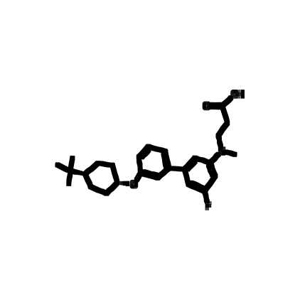 CN(CCC(=O)O)c1cc(F)cc(-c2cccc(O[C@H]3CC[C@H](C(C)(C)C)CC3)c2)c1